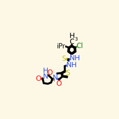 Cc1c(Cl)cc(NC(=S)NCc2scc3c2CN([C@H]2CCCC(=O)NC2=O)C3=O)cc1C(C)C